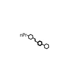 CCCC1CCC(C=Cc2ccc(C3CCCCC3)cc2)CC1